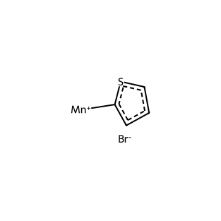 [Br-].[Mn+][c]1cccs1